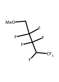 COCC(F)(F)C(F)(F)C(F)C(F)(F)F